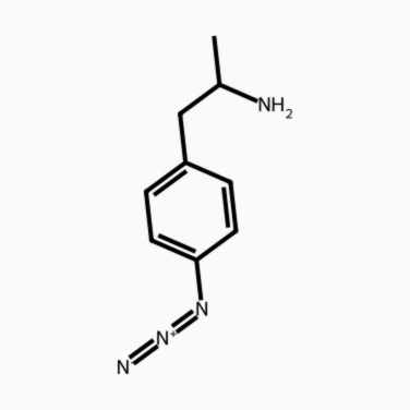 CC(N)Cc1ccc(N=[N+]=[N-])cc1